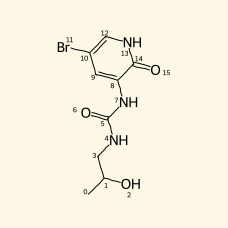 CC(O)CNC(=O)Nc1cc(Br)c[nH]c1=O